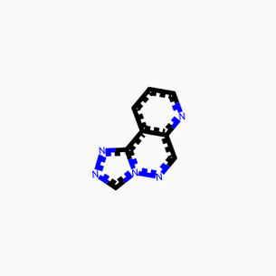 c1cnc2cnn3cnnc3c2c1